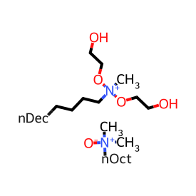 CCCCCCCCCCCCCC[N+](C)(OCCO)OCCO.CCCCCCCC[N+](C)(C)[O-]